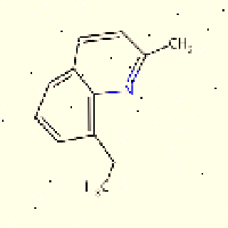 CCc1cccc2ccc(C)nc12